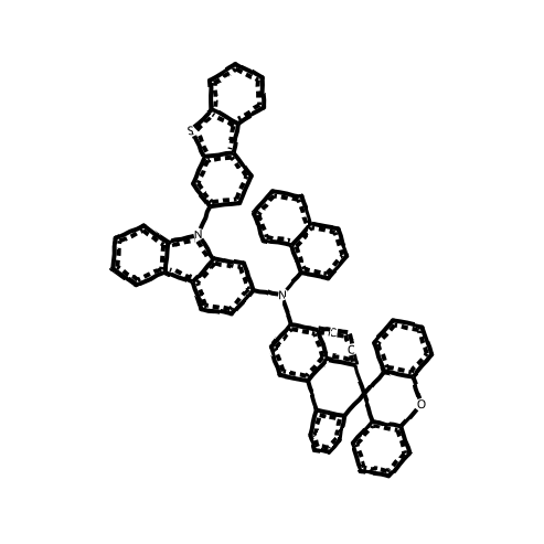 c1ccc2c(c1)Oc1ccccc1C21c2ccccc2-c2ccc(N(c3ccc4c5ccccc5n(-c5ccc6c(c5)sc5ccccc56)c4c3)c3cccc4ccccc34)c3cccc1c23